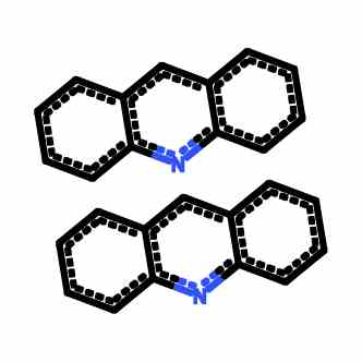 c1ccc2nc3ccccc3cc2c1.c1ccc2nc3ccccc3cc2c1